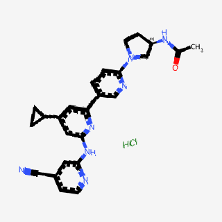 CC(=O)N[C@@H]1CCN(c2ccc(-c3cc(C4CC4)cc(Nc4cc(C#N)ccn4)n3)cn2)C1.Cl